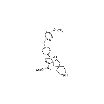 C=C(N(C)OC)C1(S(=O)(=O)c2ccc(Oc3ccc(OC(F)(F)F)cc3)cc2)CCC2(CCNCC2)C1